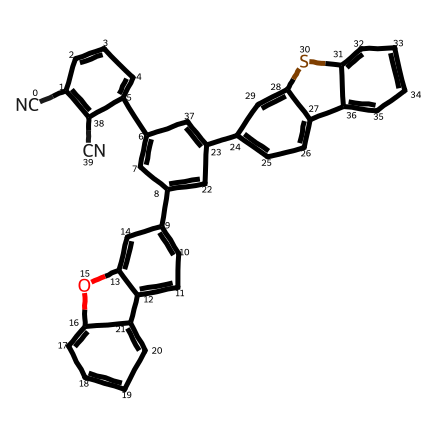 N#Cc1cccc(-c2cc(-c3ccc4c(c3)oc3ccccc34)cc(-c3ccc4c(c3)sc3ccccc34)c2)c1C#N